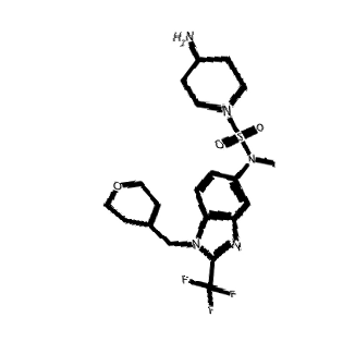 CN(c1ccc2c(c1)nc(C(F)(F)F)n2CC1CCOCC1)S(=O)(=O)N1CCC(N)CC1